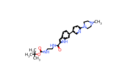 CN1CCN(c2ccc(-c3ccc4cc(C(=O)NCCNC(=O)OC(C)(C)C)[nH]c4c3)cn2)CC1